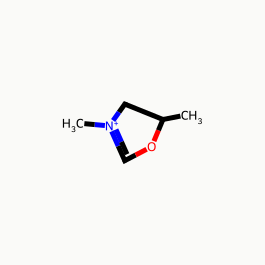 CC1C[N+](C)=CO1